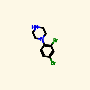 Brc1ccc(N2CCNCC2)c(Br)c1